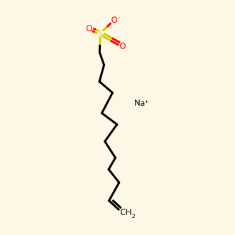 C=CCCCCCCCCCCS(=O)(=O)[O-].[Na+]